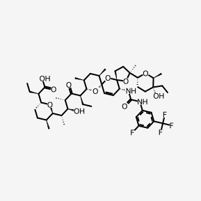 CC[C@@H](C(=O)[C@@H](C)[C@@H](O)[C@H](C)[C@@H]1O[C@@H]([C@@H](CC)C(=O)O)CC[C@@H]1C)[C@H]1O[C@]2(C=C[C@@H](NC(=O)Nc3cc(F)cc(C(F)(F)F)c3)[C@]3(CC[C@@](C)([C@H]4CC[C@](O)(CC)[C@H](C)O4)O3)O2)[C@H](C)C[C@@H]1C